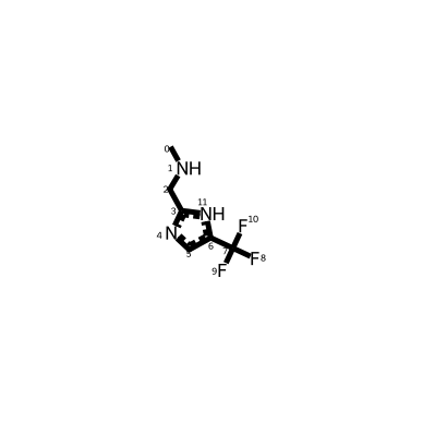 CNCc1ncc(C(F)(F)F)[nH]1